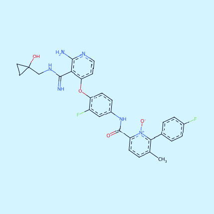 Cc1ccc(C(=O)Nc2ccc(Oc3ccnc(N)c3C(=N)NCC3(O)CC3)c(F)c2)[n+]([O-])c1-c1ccc(F)cc1